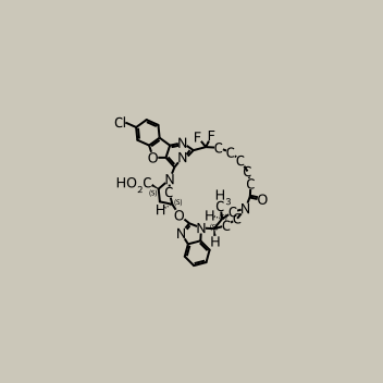 C[C@H]1CN2CC[C@@H]1n1c(nc3ccccc31)O[C@H]1C[C@@H](C(=O)O)N(C1)c1nc(nc3c1oc1cc(Cl)ccc13)C(F)(F)CCCCCC2=O